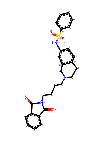 O=C1c2ccccc2C(=O)N1CCCCN1CCc2ccc(NS(=O)(=O)c3ccccc3)cc2C1